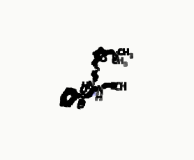 C#CCN/C(=C/S(=O)(=O)c1ccccc1)NCCSCc1ccc(CN(C)C)o1